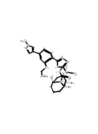 COCOc1cc(-c2cnn(C)c2)ccc1-c1nnc(N(C)[C@H]2C[C@@H]3CCC[C@H]([C@H]2F)N3C(=O)OC(C)(C)C)s1